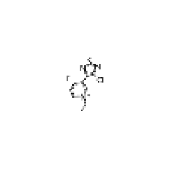 CC[n+]1cccc(-c2nsnc2Cl)c1.[I-]